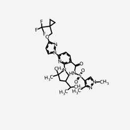 Cc1nn(C)cc1S(=O)(=O)NC(=O)c1ccc(-n2ccc(OCC3(C(F)(F)F)CC3)n2)nc1N1CC(C(C)C)CC1(C)C